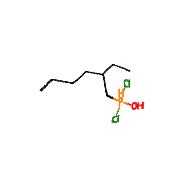 CCCCC(CC)C[PH](O)(Cl)Cl